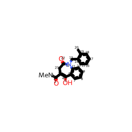 CNC(=O)C1=C(O)c2ccccc2N(Cc2ccccc2C)C(=O)C1